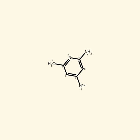 CCCc1[c]c(C)nc(N)c1